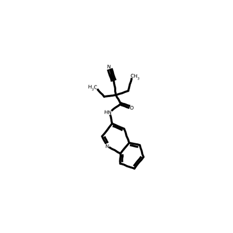 CCC(C#N)(CC)C(=O)Nc1cnc2ccccc2c1